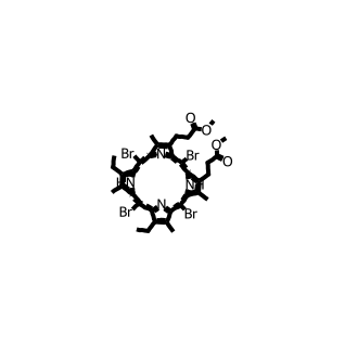 CCC1=C(C)c2nc1c(Br)c1[nH]c(c(Br)c3nc(c(Br)c4[nH]c(c(C)c4CCC(=O)OC)c2Br)C(CCC(=O)OC)=C3C)c(CC)c1C